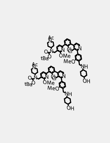 COc1cc(-c2nccc(-c3cccc(-c4ccc(CN(C(=O)OC(C)(C)C)C5CCN(C(C)=O)CC5)c(OC)n4)c3Cl)c2Cl)ccc1CNC1CCC(O)CC1.COc1cc(-c2nccc(-c3cccc(-c4ccc(CN(C(=O)OC(C)(C)C)C5CCN(C(C)=O)CC5)c(OC)n4)c3Cl)c2Cl)ccc1CNC1CCC(O)CC1